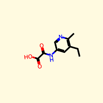 CCc1cc(NC(=O)C(=O)O)cnc1C